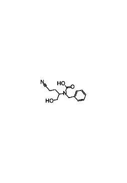 N#CCCC(CO)N(Cc1ccccc1)C(=O)O